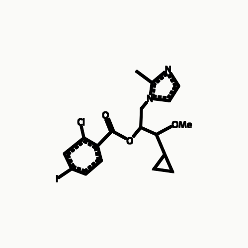 COC(C1CC1)C(Cn1ccnc1C)OC(=O)c1ccc(I)cc1Cl